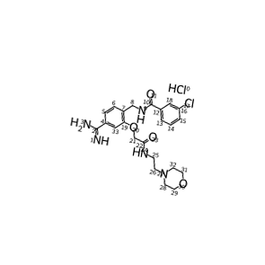 Cl.N=C(N)c1ccc(CNC(=O)c2cccc(Cl)c2)c(OCC(=O)NCCN2CCOCC2)c1